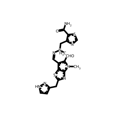 CN(Cc1ncsc1C(N)=O)/N=C\c1c(C=O)n(C)c2nc(Cc3cc[nH]n3)sc12